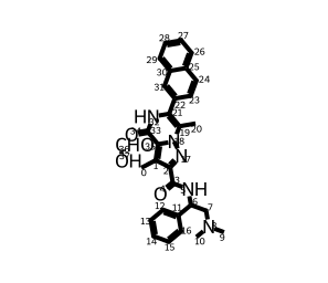 Cc1c(C(=O)NC(CN(C)C)c2ccccc2)nn2c(C)c(-c3ccc4ccccc4c3)[nH]c(=O)c12.O=CO